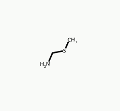 CSCN